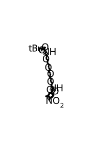 Cc1cc(S(=O)(=O)NCCOCCOCCOCCCOCCNC(=O)OC(C)(C)C)ccc1[N+](=O)[O-]